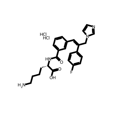 Cl.Cl.NCCCC[C@H](NC(=O)c1cccc(/C=C(/Cn2ccnc2)c2ccc(F)cc2)c1)C(=O)O